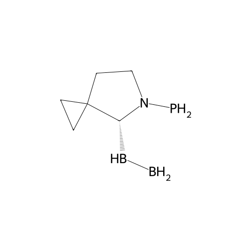 BB[C@H]1N(P)CCC12CC2